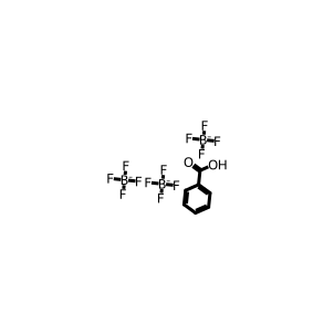 F[B-](F)(F)F.F[B-](F)(F)F.F[B-](F)(F)F.O=C(O)c1ccccc1